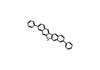 c1ccc(-c2ccc3cc4c(cc3c2)sc2cc3cc(-c5ccccc5)ccc3cc24)cc1